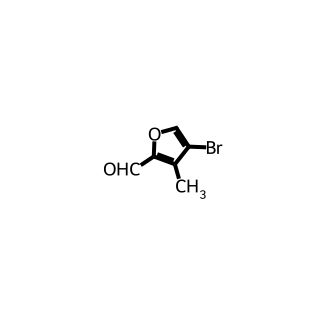 Cc1c(Br)coc1C=O